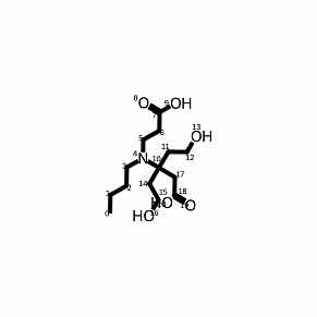 CCCCN(CCC(=O)O)C(CCO)(CCO)CC(=O)O